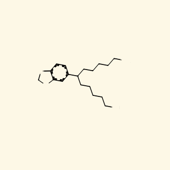 CCCCCCC(CCCCCC)c1ccc2c(c1)OCO2